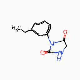 CCc1cccc(N2C(=O)CNC2=O)c1